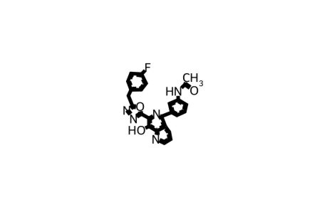 CC(=O)Nc1cccc(-c2nc(-c3nnc(Cc4ccc(F)cc4)o3)c(O)c3ncccc23)c1